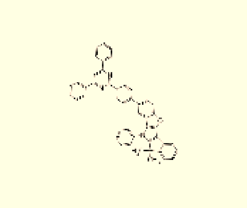 CC1(C)c2ccccc2-c2c1n(-c1ccccc1)c1c2oc2ccc(-c3ccc(-c4nc(-c5ccccc5)cc(-c5ccccc5)n4)cc3)cc21